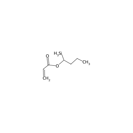 C=CC(=O)OC([SiH3])CCC